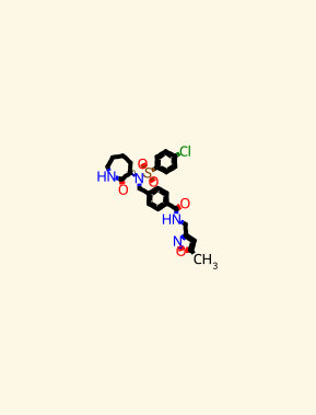 Cc1cc(CNC(=O)c2ccc(CN([C@@H]3CCCCNC3=O)S(=O)(=O)c3ccc(Cl)cc3)cc2)no1